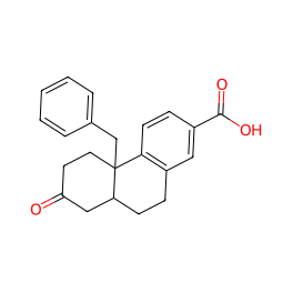 O=C1CCC2(Cc3ccccc3)c3ccc(C(=O)O)cc3CCC2C1